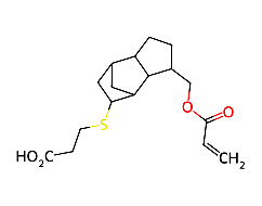 C=CC(=O)OCC1CCC2C3CC(SCCC(=O)O)C(C3)C12